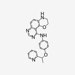 CC(Oc1ccc(Nc2ncnc3ccc4c(c23)OCCN4)cc1)c1ccccn1